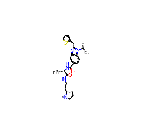 CCC[C@H](NC(=O)c1ccc2c(c1)nc(Cc1cccs1)n2C(CC)CC)C(=O)NCCC1CCCN1C